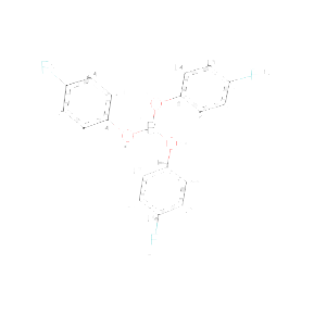 Fc1ccc(OB(Oc2ccc(F)cc2)Oc2ccc(F)cc2)cc1